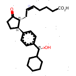 O=C(O)CCC/C=C\C[C@H]1C(=O)CC[C@@H]1c1ccc([C@H](O)C2CCCCC2)cc1